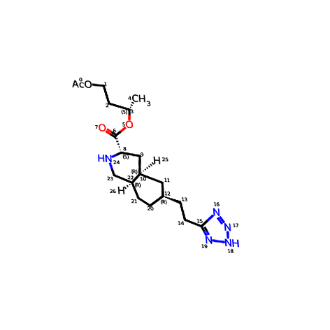 CC(=O)OCC[C@H](C)OC(=O)[C@@H]1C[C@H]2C[C@@H](CCc3nn[nH]n3)CC[C@H]2CN1